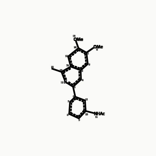 COc1cc2cc(-c3cccc(NC(C)=O)c3)nc(C)c2cc1OC